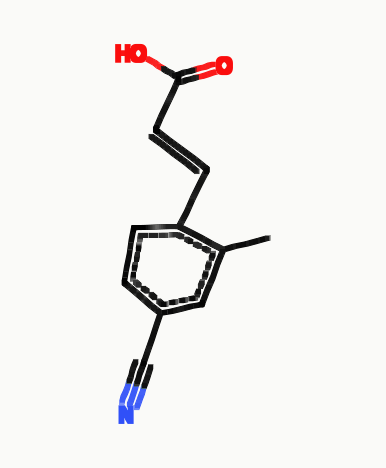 Cc1cc(C#N)ccc1/C=C/C(=O)O